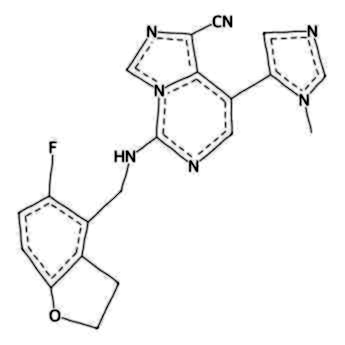 Cn1cncc1-c1cnc(NCc2c(F)ccc3c2CCO3)n2cnc(C#N)c12